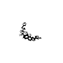 CN(CC1COCCO1)S(=O)(=O)Nc1ccc2ccc3ncc(-c4cnn(C)c4)cc3c(=O)c2c1F